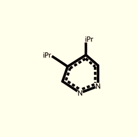 CC(C)c1cnncc1C(C)C